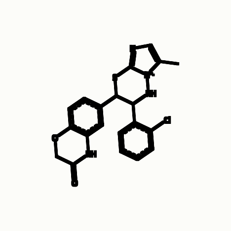 CC1=CN=C2SC(c3ccc4c(c3)NC(=O)CO4)C(c3ccccc3Cl)N[N+]12